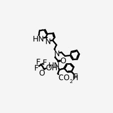 O=C(O)C(F)(F)F.O=C(O)CC(NC(=O)CN(CCc1ccccc1)CCC1C=CC2=CCCNC2=N1)c1cccc(F)c1